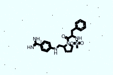 CS(=O)(=O)NC(Cc1ccccc1)C(=O)N1CCCC1CNc1ccc(C(=N)N)cc1